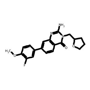 COc1ccc(-c2ccc3c(=O)n(CC4CCCO4)c(N)nc3c2)cc1F